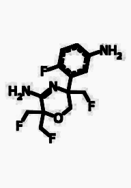 NC1=NC(CF)(c2cc(N)ccc2F)COC1(CF)CF